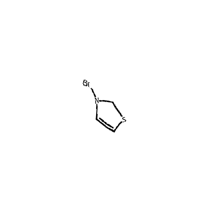 BrN1C=CSC1